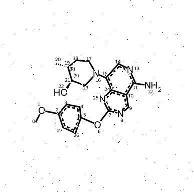 COc1ccc(Oc2ncc3c(N)ncc(N4CC[C@@H](C)[C@H](O)C4)c3n2)cc1